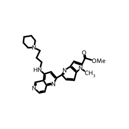 COC(=O)c1cc2nc(-c3cc(NCCCN4CCCCC4)c4cnccc4n3)ccc2n1C